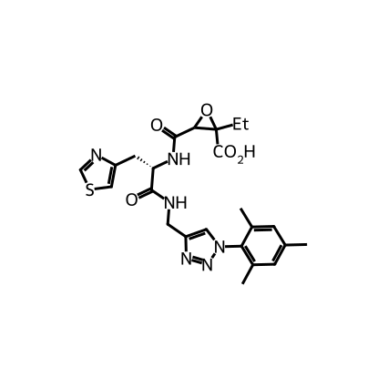 CCC1(C(=O)O)OC1C(=O)N[C@@H](Cc1cscn1)C(=O)NCc1cn(-c2c(C)cc(C)cc2C)nn1